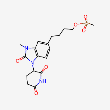 Cn1c(=O)n(C2CCC(=O)NC2=O)c2ccc(CCCCOS(C)(=O)=O)cc21